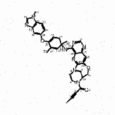 CC#CC(=O)N1CCN2CC1COc1cc3ncnc(NC4(C)C=C(C)C(Oc5ccc6c(c5)ncn6C)=CC4)c3nc12